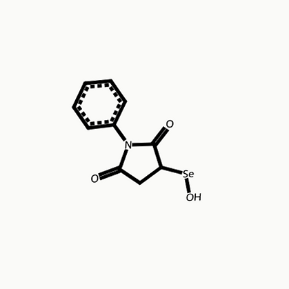 O=C1CC([Se]O)C(=O)N1c1ccccc1